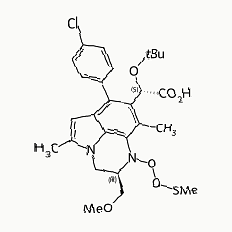 COC[C@H]1Cn2c(C)cc3c(-c4ccc(Cl)cc4)c([C@H](OC(C)(C)C)C(=O)O)c(C)c(c32)N1OOSC